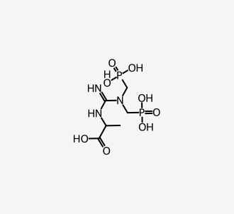 CC(NC(=N)N(CP(=O)(O)O)CP(=O)(O)O)C(=O)O